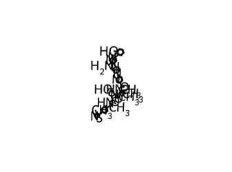 Cc1ncsc1-c1ccc([C@H](C)NC(=O)[C@@H]2C[C@@H](O)CN2C(=O)[C@@H](NC(=O)c2ccc(N3CCN(c4cc(-c5ccccc5O)nnc4N)CC3)nc2)C(C)(C)C)cc1